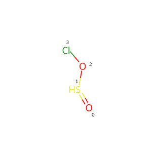 O=[SH]OCl